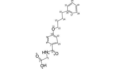 O=C(O)CNC(=O)c1ccc(OCCCCc2ccccc2)cc1